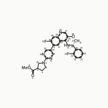 COC(=O)C1CCN(c2ncc(-c3cc4c(N[C@H](C)c5ccccc5F)c(Cl)cnc4cc3F)cn2)C1